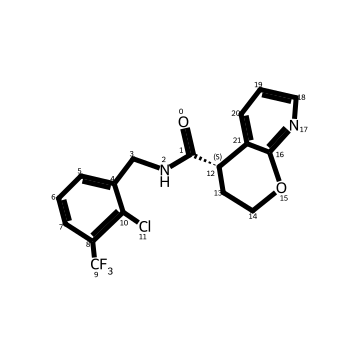 O=C(NCc1cccc(C(F)(F)F)c1Cl)[C@H]1CCOc2ncccc21